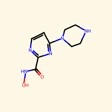 O=C(NO)c1nccc(N2CCNCC2)n1